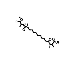 COC(=O)C(C)NC(=O)CCCCCCCCCCC(=O)NC(C)C(=O)O